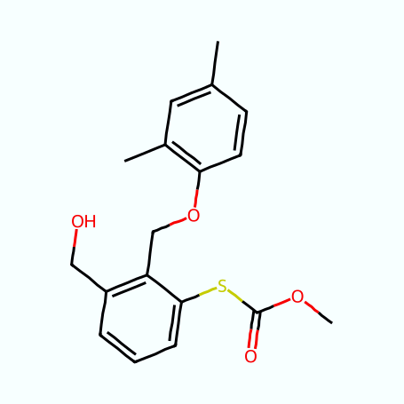 COC(=O)Sc1cccc(CO)c1COc1ccc(C)cc1C